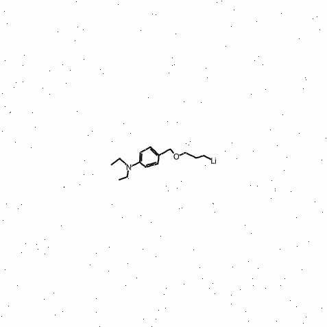 [Li][CH2]CCOCc1ccc(N(CC)CC)cc1